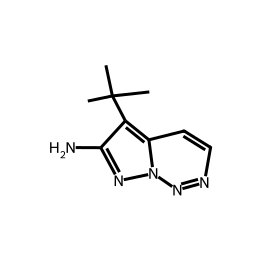 CC(C)(C)c1c(N)nn2nnccc12